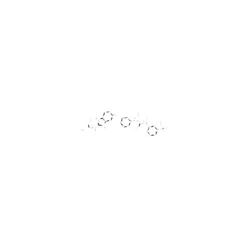 COC(=O)Nc1nc2cc(Oc3cccc(NC(=O)Nc4cccc(C(F)(F)F)c4)c3)ccc2[nH]1